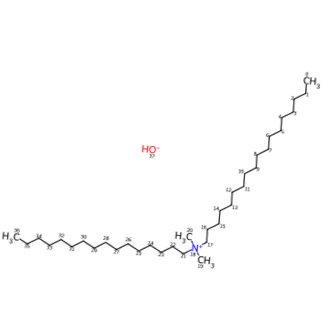 CCCCCCCCCCCCCCCCCC[N+](C)(C)CCCCCCCCCCCCCCCC.[OH-]